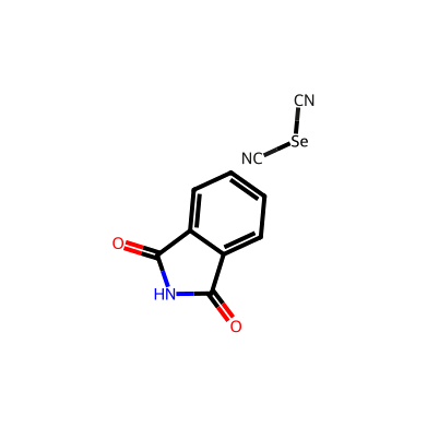 N#C[Se]C#N.O=C1NC(=O)c2ccccc21